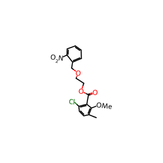 COc1c(C)ccc(Cl)c1C(=O)OCCOCc1ccccc1[N+](=O)[O-]